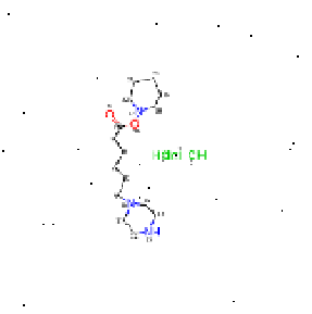 Cl.Cl.Cl.O=C(CCCCCN1CCNCC1)ON1CCCCC1